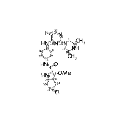 COc1c(C(=O)Nc2ccc(Nc3nc(N4C[C@@H](C)N[C@@H](C)C4)ncc3F)cc2)[nH]c2ccc(Cl)cc12